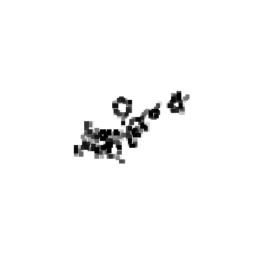 Cc1nc(COCC2=NOC(Cc3ccccc3)(C(=O)N[C@@H](CC(C)C)B3O[C@@H]4C[C@@H]5C[C@@H](C5(C)C)[C@]4(C)O3)C2)cs1